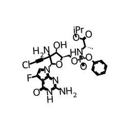 CC(C)OC(=O)[C@H](C)NP(=O)(OC[C@H]1O[C@@H](n2cc(F)c3c(=O)[nH]c(N)nc32)C(N)(C#CCl)[C@H]1O)Oc1ccccc1